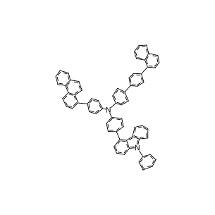 c1ccc(-n2c3ccccc3c3c(-c4ccc(N(c5ccc(-c6ccc(-c7cccc8ccccc78)cc6)cc5)c5ccc(-c6cccc7c6ccc6ccccc67)cc5)cc4)cccc32)cc1